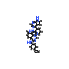 Cc1ccc2c(Nc3ccc(C#N)cc3)ncnc2c1Nc1ncccc1-c1ncnc2[nH]ccc12